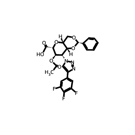 CC(=O)O[C@@H]1[C@@H](n2cc(-c3cc(F)c(F)c(F)c3)nn2)[C@H]2O[C@@H](c3ccccc3)OC[C@H]2O[C@H]1C(=O)O